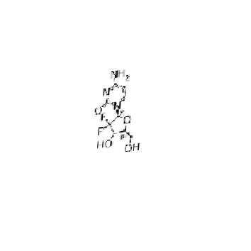 Nc1ccn([C@H]2O[C@@H](CO)C(O)C2(F)F)c(=O)n1